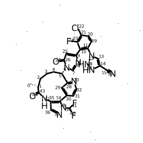 C[C@@H]1CCC[C@H](n2cnc(-c3c(N4C=C(C#N)NN4)ccc(Cl)c3F)cc2=O)c2cc(ccn2)-c2c(cnn2C(F)F)NC1=O